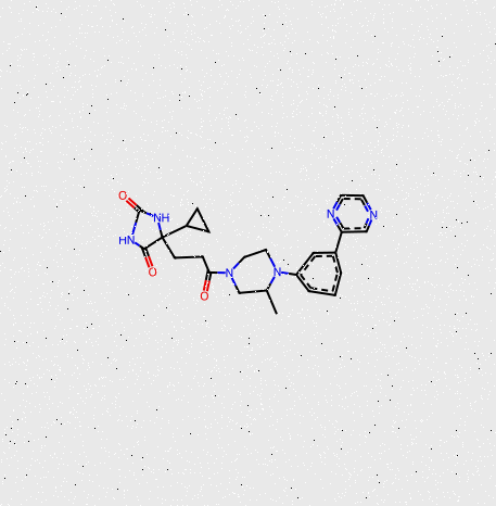 CC1CN(C(=O)CCC2(C3CC3)NC(=O)NC2=O)CCN1c1cccc(-c2cnccn2)c1